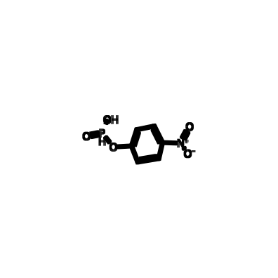 O=[N+]([O-])c1ccc(O[PH](=O)O)cc1